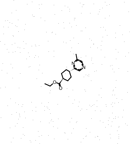 CCOC(=O)[C@H]1CC[C@H](c2cncc(C)n2)CC1